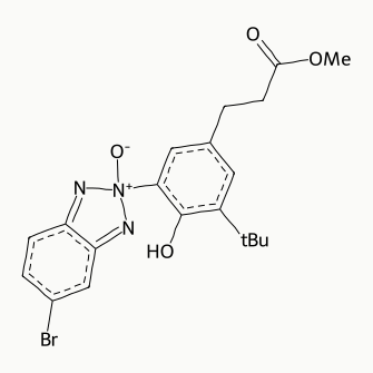 COC(=O)CCc1cc(C(C)(C)C)c(O)c([N+]2([O-])N=c3ccc(Br)cc3=N2)c1